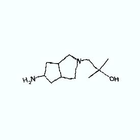 CC(C)(O)CN1CC2CC(N)CC2C1